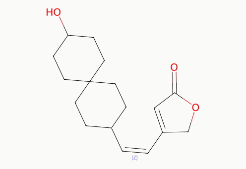 O=C1C=C(/C=C\C2CCC3(CCC(O)CC3)CC2)CO1